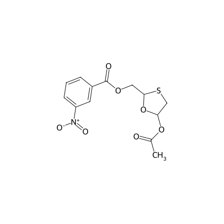 CC(=O)OC1CSC(COC(=O)c2cccc([N+](=O)[O-])c2)O1